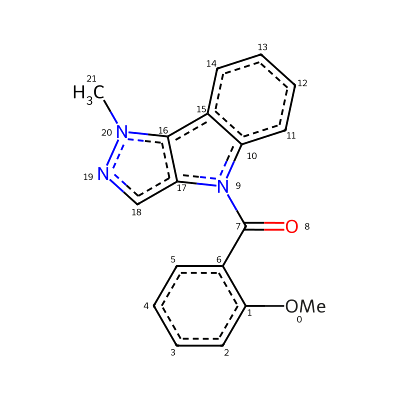 COc1ccccc1C(=O)n1c2ccccc2c2c1cnn2C